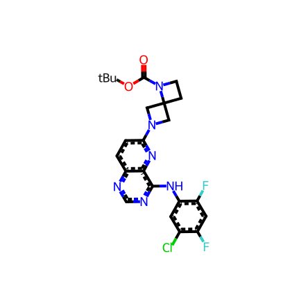 CC(C)(C)OC(=O)N1CCC12CN(c1ccc3ncnc(Nc4cc(Cl)c(F)cc4F)c3n1)C2